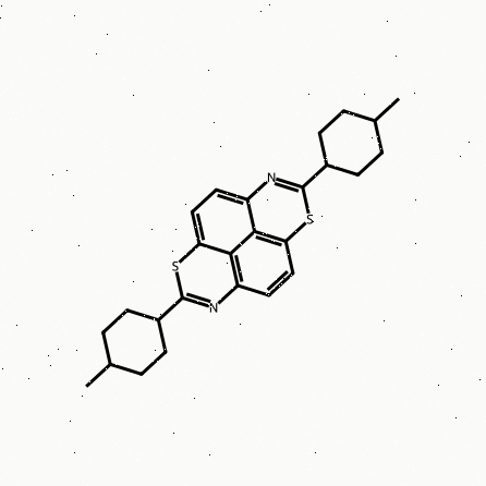 CC1CCC(C2=Nc3ccc4c5c(ccc(c35)S2)N=C(C2CCC(C)CC2)S4)CC1